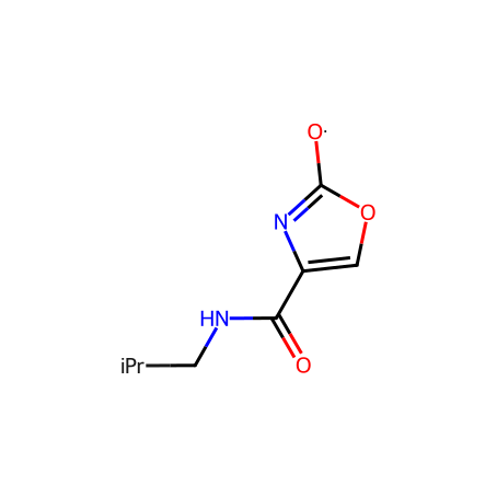 CC(C)CNC(=O)c1coc([O])n1